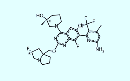 Cc1cc(N)nc(-c2c(Cl)cc3c(N4CCC[C@@](C)(O)C4)nc(OCC45CCCN4C[C@H](F)C5)nc3c2F)c1C(F)(F)F